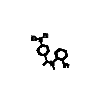 CCN(CC)c1ccc(C(C)N(C)c2ccccc2C(C)C)cc1